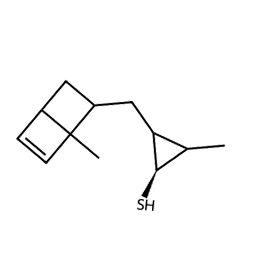 CC1C(CC2CC3C=CC32C)[C@@H]1S